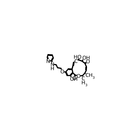 C[C@@H]1/C=C\C(=O)C(O)C(O)C/C=C/c2cc(OCCCNc3ccccn3)cc(O)c2C(=O)O[C@H]1C